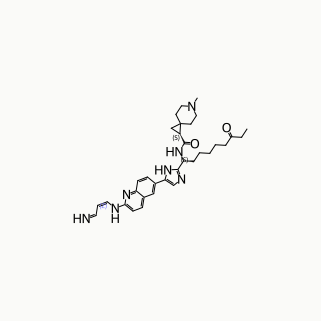 CCC(=O)CCCCC[C@H](NC(=O)[C@H]1CC12CCN(C)CC2)c1ncc(-c2ccc3nc(N/C=C\C=N)ccc3c2)[nH]1